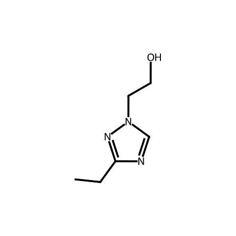 CCc1ncn(CCO)n1